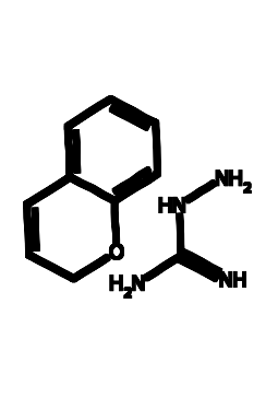 C1=Cc2ccccc2OC1.N=C(N)NN